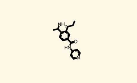 CCCc1cc(C(=O)Nc2ccncc2)ccc1C(C)N